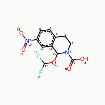 O=C(O)N1CCc2ccc([N+](=O)[O-])cc2C1OC(F)F